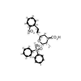 C[C@@H]1[C@H](O[Si](c2ccccc2)(c2ccccc2)C(C)(C)C)O[C@H](C=Cc2ccccc2[N+](=O)[O-])CN1C(=O)O